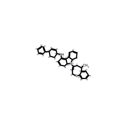 CC1C/C(N2C3CC=CC=C3C3=C(NC4C=CC(c5ccccc5)CC4)C=CCC32)=C\CSc2ccccc21